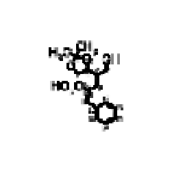 CC1(C)OCC(C(CO)CN(Cc2ccccc2)C(=O)O)O1